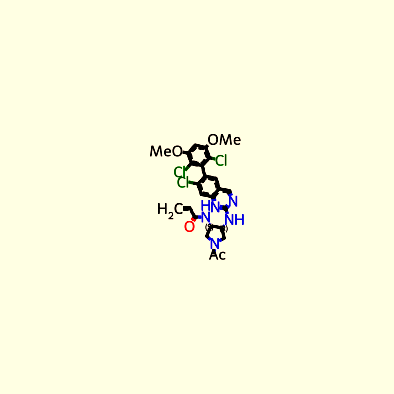 C=CC(=O)N[C@H]1CN(C(C)=O)C[C@H]1Nc1ncc2cc(-c3c(Cl)c(OC)cc(OC)c3Cl)c(Cl)cc2n1